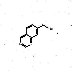 CC(C)(C)Cc1ccc2cncnc2c1